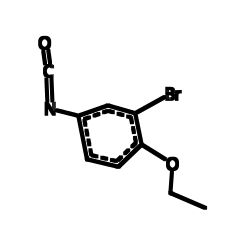 CCOc1ccc(N=C=O)cc1Br